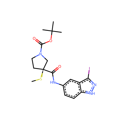 CS[C@@]1(C(=O)Nc2ccc3[nH]nc(I)c3c2)CCN(C(=O)OC(C)(C)C)C1